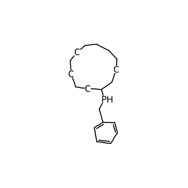 c1ccc(CPC2CCCCCCCCCCC2)cc1